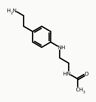 CC(=O)NCCNc1ccc(CCN)cc1